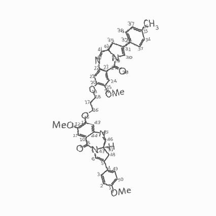 COc1ccc(C2=CN3C(=O)c4cc(OC)c(OCCCOc5cc6c(cc5OC)C(=O)N5C=C(c7ccc(C)cc7)CC5C=N6)cc4N=C[C@@H]3C2)cc1